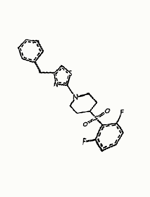 O=S(=O)(c1c(F)cccc1F)C1CCN(c2nc(Cc3ccccc3)cs2)CC1